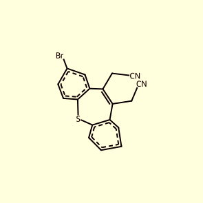 N#CCC1=C(CC#N)c2cc(Br)ccc2Sc2ccccc21